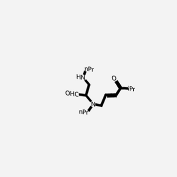 CCCNCC(C=O)N(C/C=C/C(=O)C(C)C)CCC